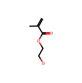 C=C(C)C(=O)O[CH]C[O]